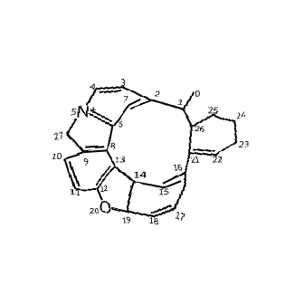 CC1c2cc[n+]3c(c2)-c2c(ccc4c2C2C=C(C=CC2O4)C2=CCCCC21)C3